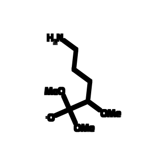 COC(CCCN)C([O])(OC)OC